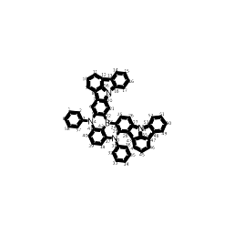 c1ccc(N2c3cc4c5cccc6c7ccccc7n(c4cc3B3c4ccc7c(c4N(c4ccccc4)c4cccc2c43)c2cccc3c4ccccc4n7c32)c65)cc1